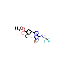 COC(=O)c1ccc(-c2cnc3c(NCCC(F)(F)F)nc(Br)cn23)cc1C